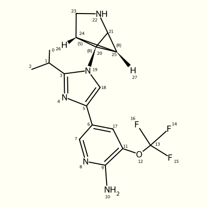 CC(C)c1nc(-c2cnc(N)c(OC(F)(F)F)c2)cn1[C@]12C3NC[C@@H]1[C@H]32